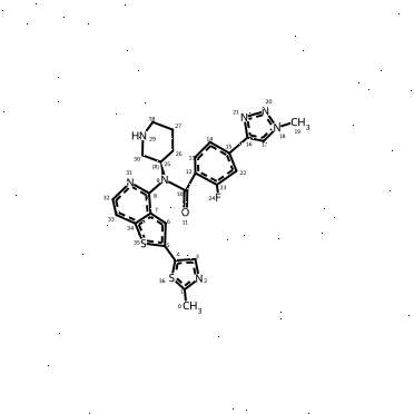 Cc1ncc(-c2cc3c(N(C(=O)c4ccc(-c5cn(C)nn5)cc4F)[C@@H]4CCCNC4)nccc3s2)s1